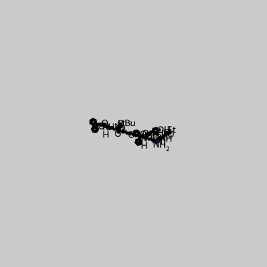 CCC(=O)NCCNC(=O)/N=C(/N)NCCC[C@@H](NC(=O)C(c1ccccc1)c1cccc(OCCCCNC(=O)[C@@H](CCCCNC(=O)OCC2c3ccccc3-c3ccccc32)NC(=O)OC(C)(C)C)c1)C(=O)NCc1ccc(O)cc1